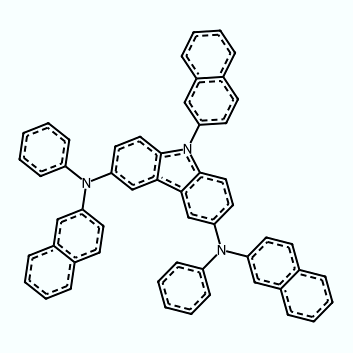 c1ccc(N(c2ccc3ccccc3c2)c2ccc3c(c2)c2cc(N(c4ccccc4)c4ccc5ccccc5c4)ccc2n3-c2ccc3ccccc3c2)cc1